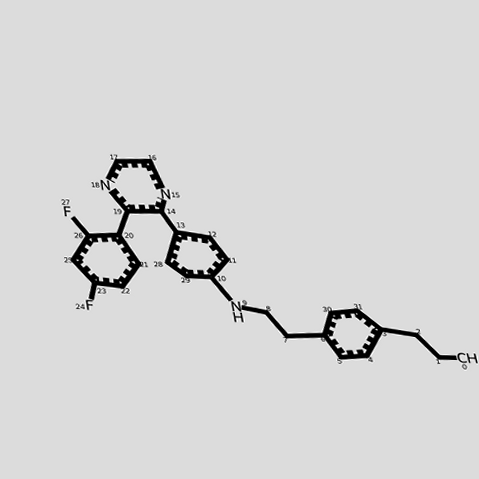 CCCc1ccc(CCNc2ccc(-c3nccnc3-c3ccc(F)cc3F)cc2)cc1